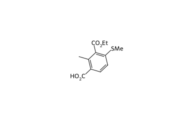 CCOC(=O)c1c(SC)ccc(C(=O)O)c1C